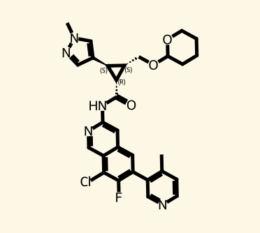 Cc1ccncc1-c1cc2cc(NC(=O)[C@H]3[C@@H](COC4CCCCO4)[C@@H]3c3cnn(C)c3)ncc2c(Cl)c1F